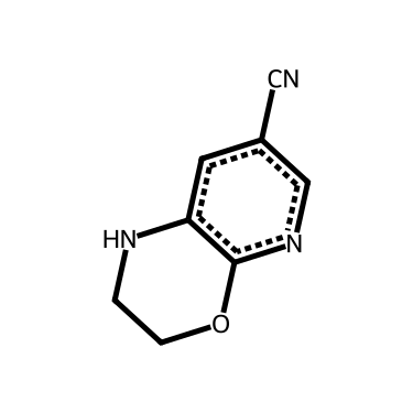 N#Cc1cnc2c(c1)NCCO2